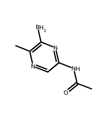 Bc1nc(NC(C)=O)cnc1C